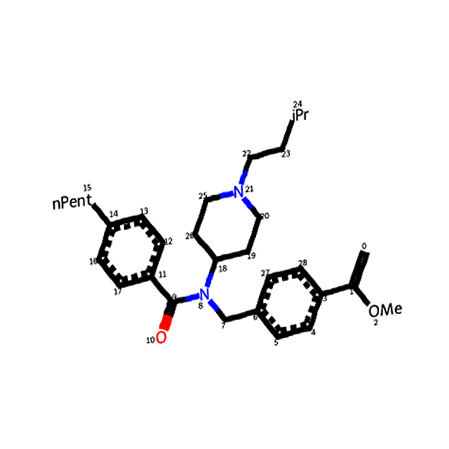 C=C(OC)c1ccc(CN(C(=O)c2ccc(CCCCC)cc2)C2CCN(CCC(C)C)CC2)cc1